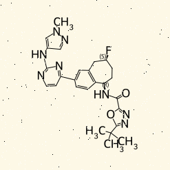 Cn1cc(Nc2nccc(-c3ccc4c(c3)C[C@@H](F)CC[C@H]4NC(=O)c3nnc(C(C)(C)C)o3)n2)cn1